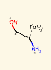 NCCO.[PbH2]